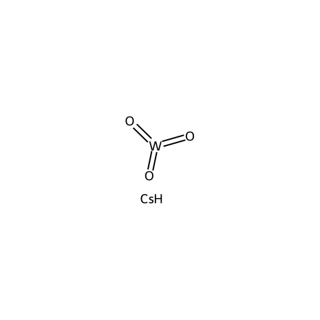 [CsH].[O]=[W](=[O])=[O]